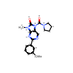 COc1cccc(-c2ncc3c(n2)n(C)c(=O)n3C(=O)N2CCCC2)c1